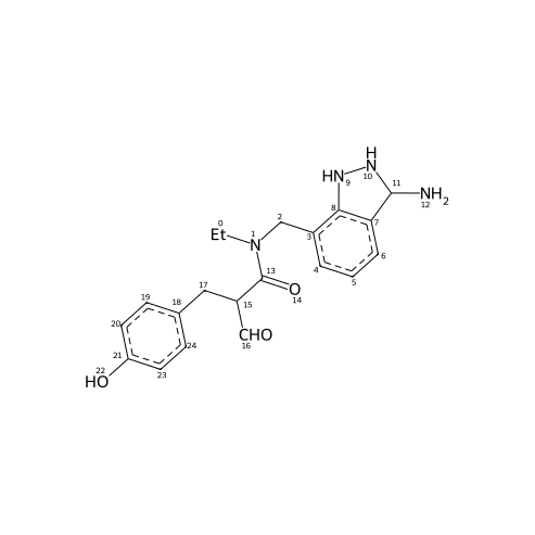 CCN(Cc1cccc2c1NNC2N)C(=O)C(C=O)Cc1ccc(O)cc1